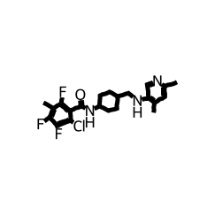 Cc1cc(C)c(NCC2CCC(NC(=O)c3c(F)c(C)c(F)c(F)c3Cl)CC2)cn1